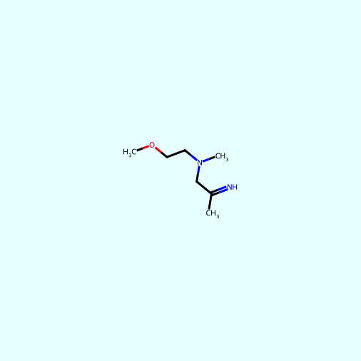 COCCN(C)CC(C)=N